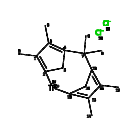 CC1=[C]2CC(=C1C)C(C)(C)C1=C(C)C(C)=[C](C1)[Ti+2]2.[Cl-].[Cl-]